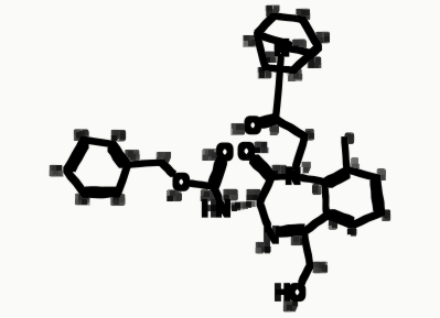 Cc1cccc2c1N(CC(=O)N1CC3CCC(CC3)C1)C(=O)[C@@H](NC(=O)OCc1ccccc1)N=C2CO